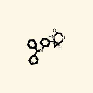 O=C1COC[C@@H]2C[C@]2(c2cccc(N=C(c3ccccc3)c3ccccc3)c2)N1